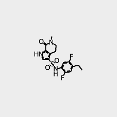 CCc1cc(F)c(NS(=O)(=O)c2c[nH]c3c2CCN(C)C3=O)cc1F